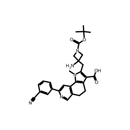 Cn1c(CC2(N)CN(C(=O)OC(C)(C)C)C2)c(C(=O)O)c2c1-c1cc(-c3cccc(C#N)c3)ncc1CC2